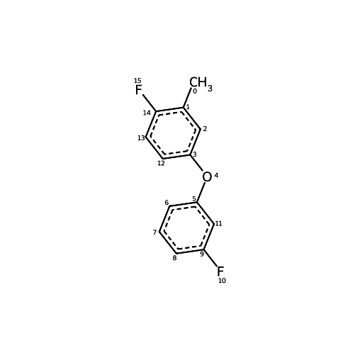 Cc1cc(Oc2cccc(F)c2)ccc1F